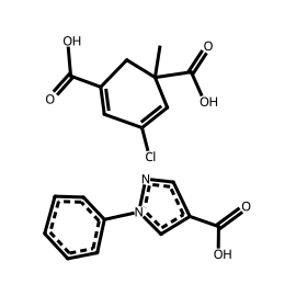 CC1(C(=O)O)C=C(Cl)C=C(C(=O)O)C1.O=C(O)c1cnn(-c2ccccc2)c1